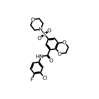 O=C(Nc1ccc(F)c(Cl)c1)c1cc(S(=O)(=O)N2CCOCC2)cc2c1OCCO2